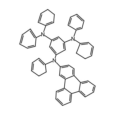 C1=CCCC(N(c2ccccc2)c2cc(N(C3=CCCC=C3)c3ccccc3)cc(N(C3=CC=CCC3)c3ccc4c5ccccc5c5ccccc5c4c3)c2)=C1